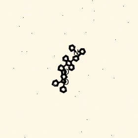 c1ccc(-c2oc3cc4oc5c(-c6c7ccccc7c(-c7ccc8c9ccccc9n(-c9ccccc9)c8c7)c7ccccc67)cccc5c4cc3c2-c2ccccc2)cc1